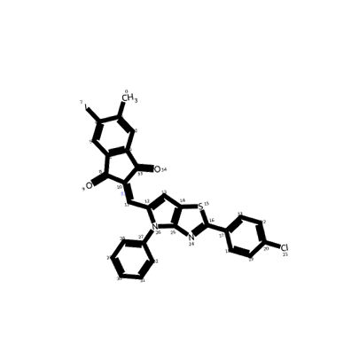 Cc1cc2c(cc1I)C(=O)/C(=C/c1cc3sc(-c4ccc(Cl)cc4)nc3n1-c1ccccc1)C2=O